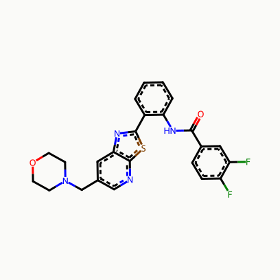 O=C(Nc1ccccc1-c1nc2cc(CN3CCOCC3)cnc2s1)c1ccc(F)c(F)c1